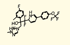 Cc1cc(F)ccc1C(O)(CN1C=NN(C)N1)C(F)(F)C1C=CC(c2ccc(OC(F)(F)F)cc2)=CN1